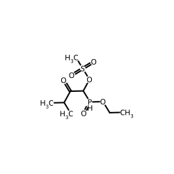 CCO[PH](=O)C(OS(C)(=O)=O)C(=O)C(C)C